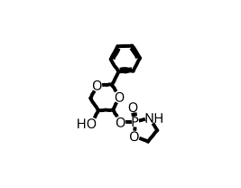 O=P1(OC2OC(c3ccccc3)OCC2O)NCCO1